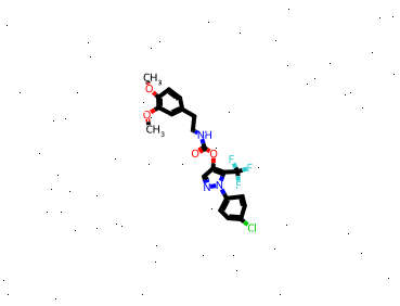 COc1ccc(CCNC(=O)Oc2cnn(-c3ccc(Cl)cc3)c2C(F)(F)F)cc1OC